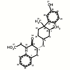 C[C@H]1CN(C[C@H](Cc2ccccc2)C(=O)NCC(=O)O)CCC1(C)c1cccc(O)c1